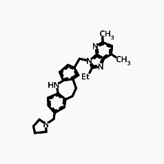 CCc1nc2c(C)cc(C)nc2n1Cc1ccc2c(c1)CCc1cc(CN3CCCC3)ccc1N2